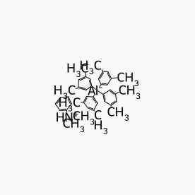 C[NH+](C)c1ccccc1.Cc1cc(C)c[c]([Al-]([c]2cc(C)cc(C)c2)([c]2cc(C)cc(C)c2)[c]2cc(C)cc(C)c2)c1